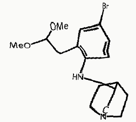 COC(Cc1cc(Br)ccc1NC1CN2CCC1CC2)OC